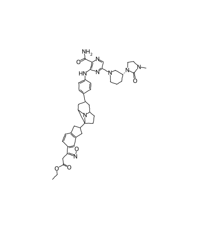 CCOC(=O)Cc1noc2c3c(ccc12)CC(C12CCC4CC(c5ccc(Nc6nc(N7CCC[C@@H](N8CCN(C)C8=O)C7)cnc6C(N)=O)cc5)CC1N42)C3